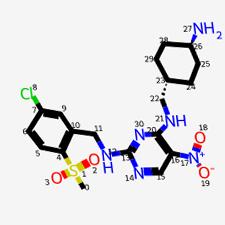 CS(=O)(=O)c1ccc(Cl)cc1CNc1ncc([N+](=O)[O-])c(NC[C@H]2CC[C@H](N)CC2)n1